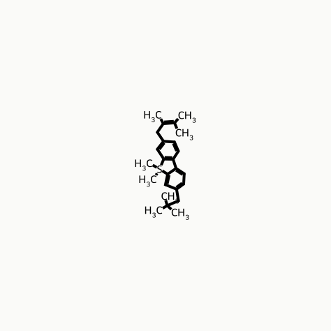 CC(C)=C(C)Cc1ccc2c(c1)S(C)(C)c1cc(CC(C)(C)C)ccc1-2